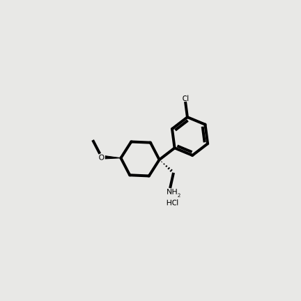 CO[C@H]1CC[C@@](CN)(c2cccc(Cl)c2)CC1.Cl